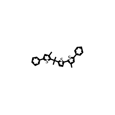 Cc1cc(-c2ccccc2)sc1-c1ccc(C(C)(C)c2sc(-c3ccccc3)cc2C)s1